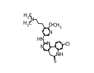 COc1ncc(Nc2ncc3c(n2)-c2ccc(Cl)cc2NC(=S)C3)cc1CCCN(C)C